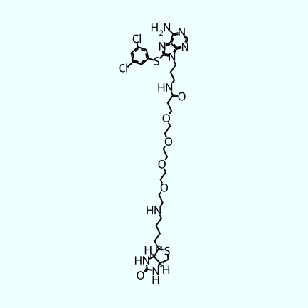 Nc1ncnc2c1nc(Sc1cc(Cl)cc(Cl)c1)n2CCCNC(=O)CCOCCOCCOCCOCCNCCCC[C@H]1SC[C@H]2NC(=O)N[C@H]21